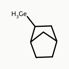 [GeH3][CH]1CC2CCC1C2